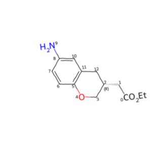 CCOC(=O)C[C@@H]1COc2ccc(N)cc2C1